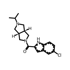 CC(C)N1C[C@H]2CN(C(=O)c3cc4cc(Cl)ccc4[nH]3)C[C@H]2C1